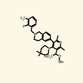 Cc1nc(C)c(C(OC(C)(C)C)C(=O)O)c(N2CCC(C)(C)CC2)c1-c1ccc2c(c1)CCN(Cc1cccc(C(F)(F)F)c1F)C2